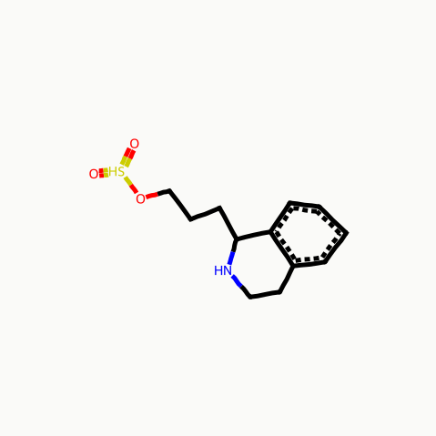 O=[SH](=O)OCCCC1NCCc2ccccc21